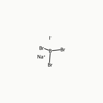 BrB(Br)Br.[I-].[Na+]